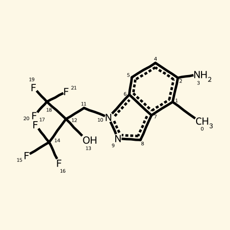 Cc1c(N)ccc2c1cnn2CC(O)(C(F)(F)F)C(F)(F)F